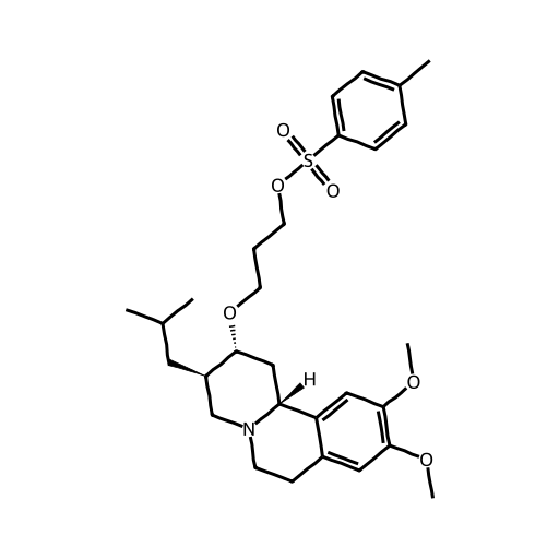 COc1cc2c(cc1OC)[C@H]1C[C@@H](OCCCOS(=O)(=O)c3ccc(C)cc3)[C@H](CC(C)C)CN1CC2